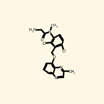 Cc1cnc2cccc(OCc3c(Cl)ccc(N(C)C(=O)CN)c3Cl)c2n1